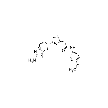 COc1ccc(NC(=O)Cn2cc(-c3ccn4nc(N)nc4c3)cn2)cc1